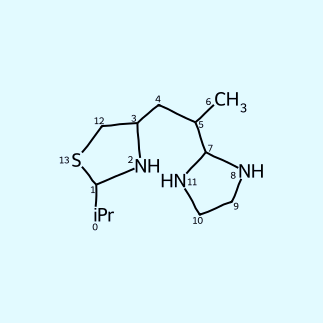 CC(C)C1NC(CC(C)C2NCCN2)CS1